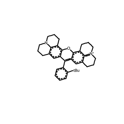 CC(C)(C)c1ccccc1C1=c2cc3c4c(c2Oc2c1cc1c5c2CCCN5CCC1)CCC[N+]=4CCC3